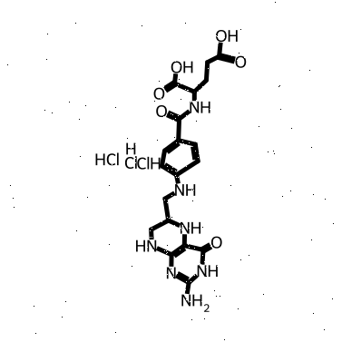 Cl.Cl.Cl.Nc1nc2c(c(=O)[nH]1)NC(CNc1ccc(C(=O)NC(CCC(=O)O)C(=O)O)cc1)CN2